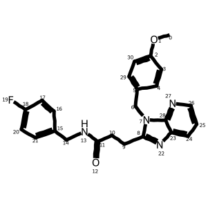 COc1ccc(Cn2c(CCC(=O)NCc3ccc(F)cc3)nc3cccnc32)cc1